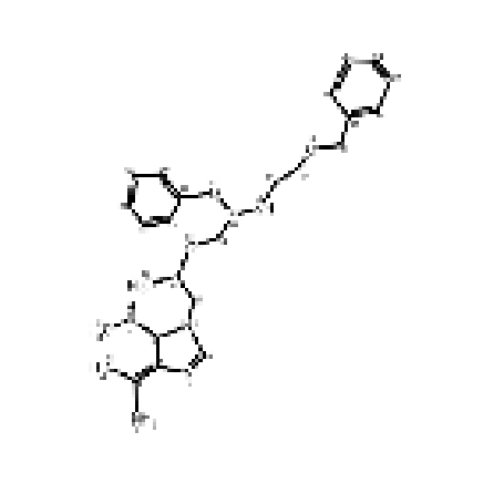 CNC1C(=C(N)N)N=CN1C[C@@H](C)OCP(NCCOCc1ccccc1)Oc1ccccc1